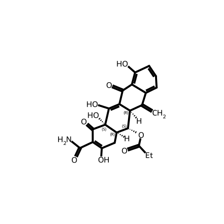 C=C1c2cccc(O)c2C(=O)C2=C(O)[C@]3(O)C(=O)C(C(N)=O)=C(O)C[C@@H]3[C@@H](OC(=O)CC)[C@H]12